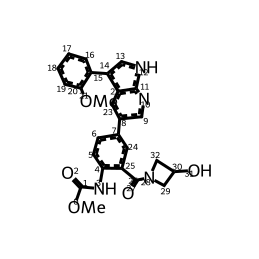 COC(=O)Nc1ccc(-c2cnc3[nH]cc(-c4ccccc4OC)c3c2)cc1C(=O)N1CC(O)C1